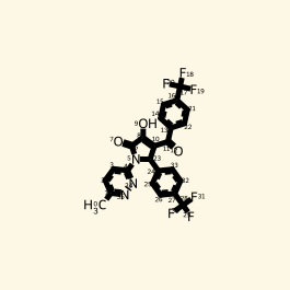 Cc1ccc(N2C(=O)C(O)=C(C(=O)c3ccc(C(F)(F)F)cc3)C2c2ccc(C(F)(F)F)cc2)nn1